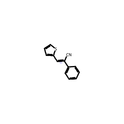 N#C/C(=C\c1cccs1)c1ccccc1